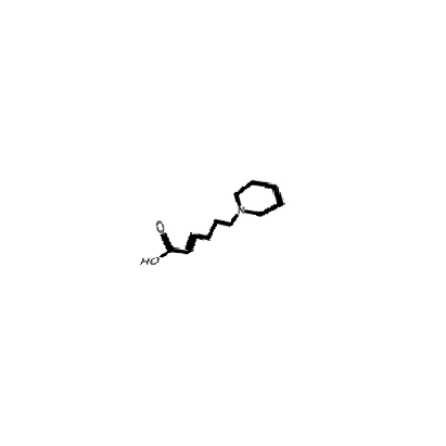 O=C(O)C=CCCCN1CCCCC1